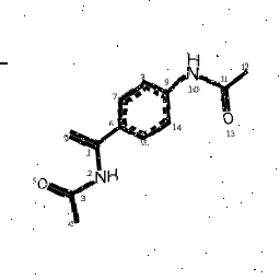 C=C(NC(C)=O)c1ccc(NC(C)=O)cc1